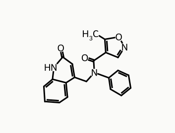 Cc1oncc1C(=O)N(Cc1cc(=O)[nH]c2ccccc12)c1ccccc1